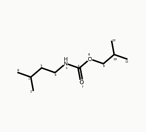 CC(C)CCNC(=O)OCC(C)C